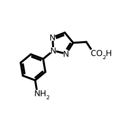 Nc1cccc(-n2ncc(CC(=O)O)n2)c1